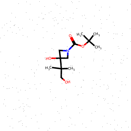 CC(C)(C)OC(=O)N1CC(O)(C(C)(C)CO)C1